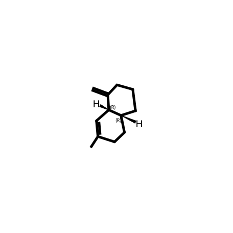 C=C1CCC[C@@H]2CCC(C)=C[C@H]12